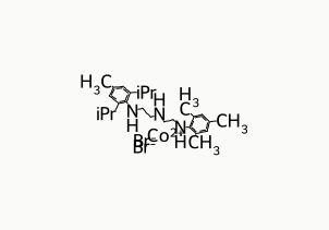 Cc1cc(C)c(NCCNCCNc2c(C(C)C)cc(C)cc2C(C)C)c(C)c1.[Br-].[Br-].[Co+2]